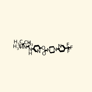 CC(C)(C)NC(=S)Nc1ccc(OC(=O)N2CCN(c3ccc(C(F)(F)F)cn3)CC2)nc1